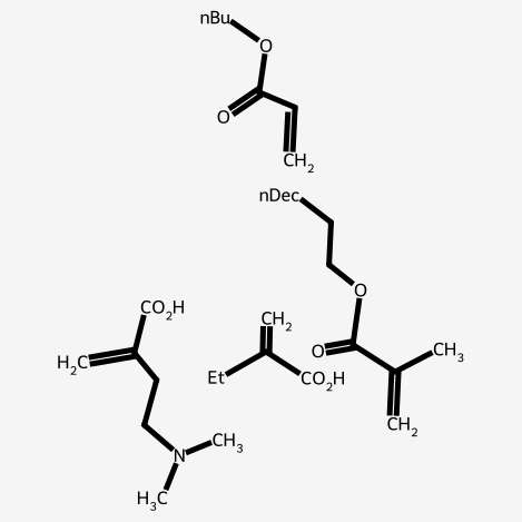 C=C(C)C(=O)OCCCCCCCCCCCC.C=C(CC)C(=O)O.C=C(CCN(C)C)C(=O)O.C=CC(=O)OCCCC